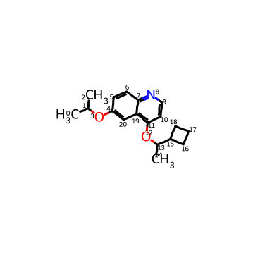 CC(C)Oc1ccc2nccc(OC(C)C3CCC3)c2c1